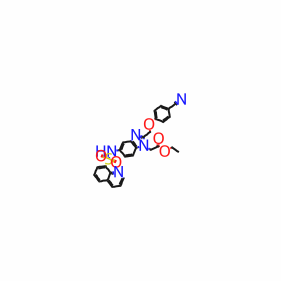 CCOC(=O)Cn1c(COc2ccc(C#N)cc2)nc2cc(NS(=O)(=O)c3cccc4cccnc34)ccc21